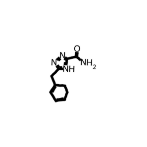 NC(=O)c1nnc(CC2=CC=CCC2)[nH]1